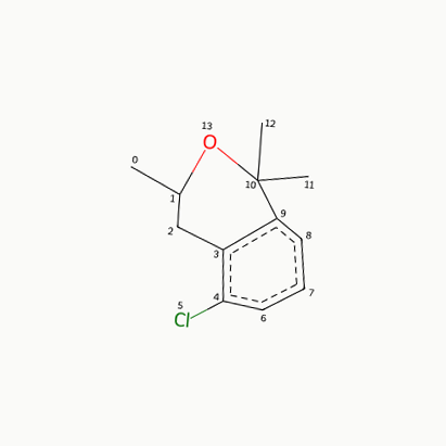 CC1Cc2c(Cl)cccc2C(C)(C)O1